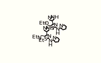 CCN(CC)Cc1sc(Nc2ccccn2)nc1-c1cn[nH]c1.CCOCc1sc(Nc2ccccn2)nc1-c1cn[nH]c1